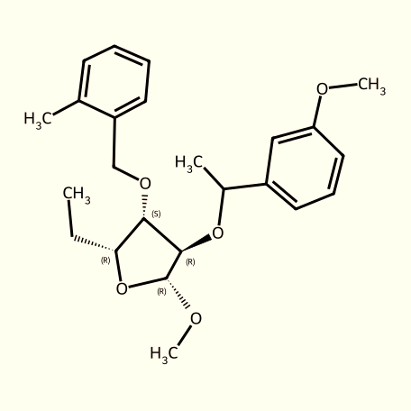 CC[C@H]1O[C@@H](OC)[C@H](OC(C)c2cccc(OC)c2)[C@H]1OCc1ccccc1C